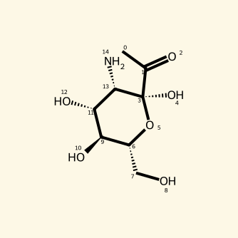 CC(=O)[C@@]1(O)O[C@H](CO)[C@@H](O)[C@H](O)[C@@H]1N